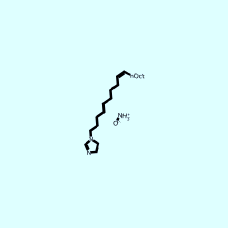 CCCCCCCC/C=C\CCCCCCCCN1C=NCC1.[NH3+][O-]